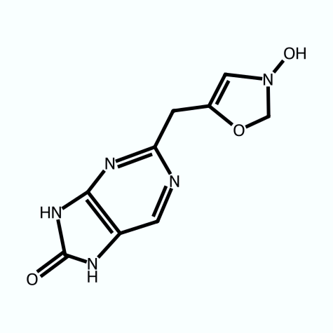 O=c1[nH]c2cnc(CC3=CN(O)CO3)nc2[nH]1